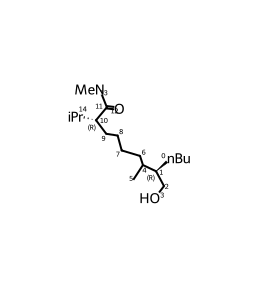 CCCC[C@@H](CO)C(C)CCCC[C@@H](C(=O)NC)C(C)C